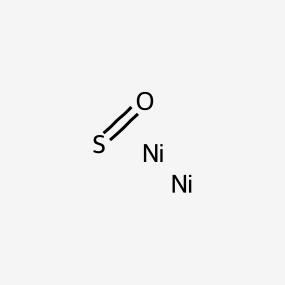 O=S.[Ni].[Ni]